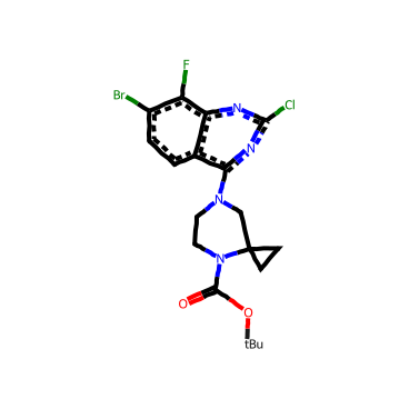 CC(C)(C)OC(=O)N1CCN(c2nc(Cl)nc3c(F)c(Br)ccc23)CC12CC2